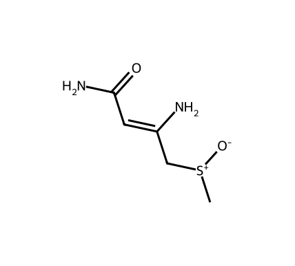 C[S+]([O-])C/C(N)=C/C(N)=O